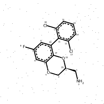 NC[C@H]1COc2cc(F)cc(-c3c(Cl)cccc3Cl)c2O1